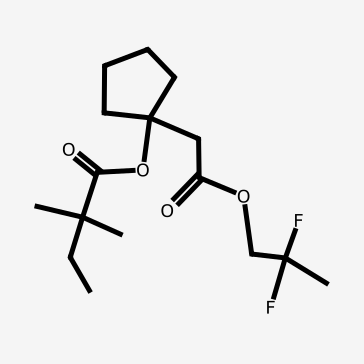 CCC(C)(C)C(=O)OC1(CC(=O)OCC(C)(F)F)CCCC1